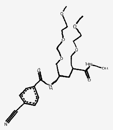 COCCOCOCC(CC(COCCOC)C(=O)NO)NC(=O)c1ccc(C#N)cc1